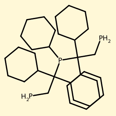 PCC(C1CCCCC1)(C1CCCCC1)P(C1CCCCC1)C(CP)(C1CCCCC1)C1CCCCC1